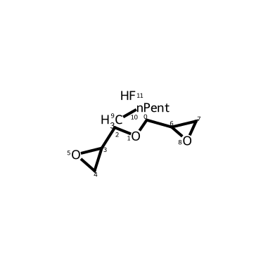 C(OCC1CO1)C1CO1.CCCCCC.F